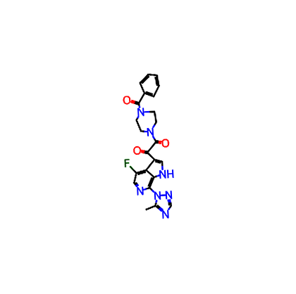 Cc1ncnn1-c1ncc(F)c2c(C(=O)C(=O)N3CCN(C(=O)c4ccccc4)CC3)c[nH]c12